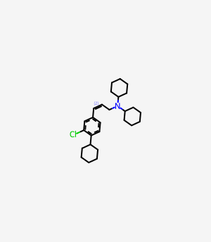 Clc1cc(/C=C\CN(C2CCCCC2)C2CCCCC2)ccc1C1CCCCC1